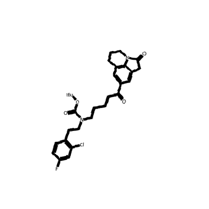 CC(C)(C)OC(=O)N(CCCCC(=O)c1cc2c3c(c1)CC(=O)N3CCC2)CCc1ccc(F)cc1Cl